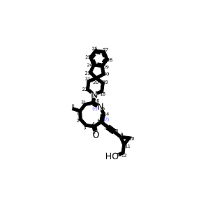 CC1CCC(=O)/C(C#CC2CC2CO)=C\N=C(\N2CCC3(CC2)Cc2ccccc2C3)C1